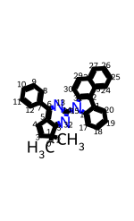 CC1(C)C=Cc2c(-c3ccccc3)nc(-n3c4ccccc4c4c5ccccc5ccc43)nc21